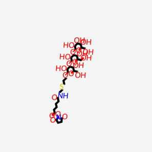 O=C(CCCCC(=O)ON1C(=O)CCC1=O)NCCSCCCO[C@@H]1OC(CO)[C@@H](O)[C@H](O[C@@H]2OC(CO)[C@@H](O)[C@H](O[C@@H]3OC(CO)[C@@H](O)[C@H](O)C3O)C2O)C1O